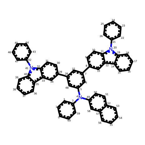 c1ccc(N(c2cc(-c3ccc4c(c3)c3ccccc3n4-c3ccccc3)cc(-c3ccc4c(c3)c3ccccc3n4-c3ccccc3)c2)c2ccc3ccccc3c2)cc1